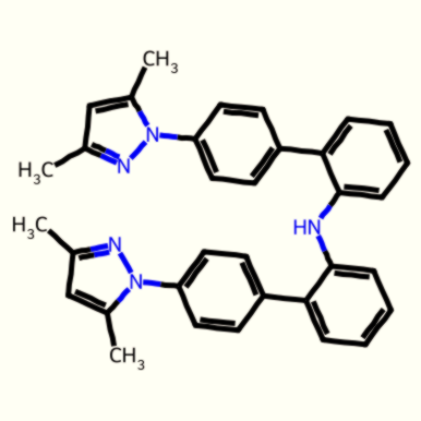 Cc1cc(C)n(-c2ccc(-c3ccccc3Nc3ccccc3-c3ccc(-n4nc(C)cc4C)cc3)cc2)n1